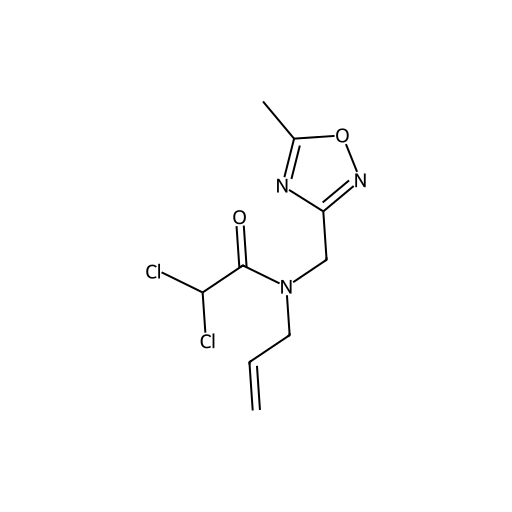 C=CCN(Cc1noc(C)n1)C(=O)C(Cl)Cl